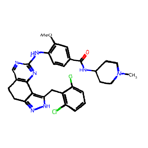 COc1cc(C(=O)NC2CCN(C)CC2)ccc1Nc1ncc2c(n1)-c1c(n[nH]c1Cc1c(Cl)cccc1Cl)CC2